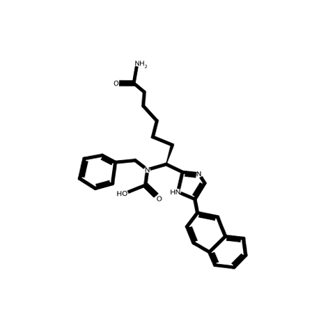 NC(=O)CCCCC[C@@H](c1ncc(-c2ccc3ccccc3c2)[nH]1)N(Cc1ccccc1)C(=O)O